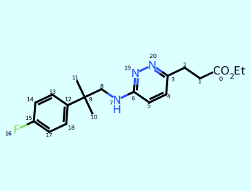 CCOC(=O)CCc1ccc(NCC(C)(C)c2ccc(F)cc2)nn1